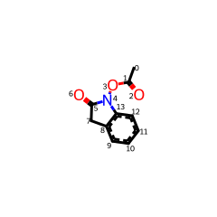 CC(=O)ON1C(=O)Cc2ccccc21